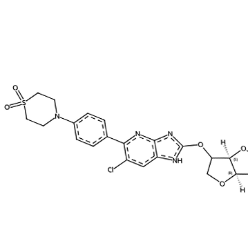 O=S1(=O)CCN(c2ccc(-c3nc4nc(OC5CO[C@@H]6CCO[C@H]56)[nH]c4cc3Cl)cc2)CC1